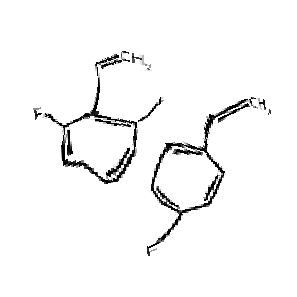 C=Cc1c(F)cccc1F.C=Cc1ccc(F)cc1